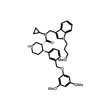 COCCCn1cc(CN(C(=O)[C@H]2CNCC[C@@H]2c2cccc(COc3cc(OC)cc(OC)c3)c2)C2CC2)c2ccccc21